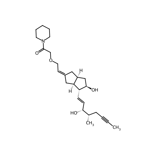 CC#CC[C@H](C)[C@H](O)/C=C/[C@@H]1[C@H]2C/C(=C/COCC(=O)N3CCCCC3)C[C@H]2C[C@H]1O